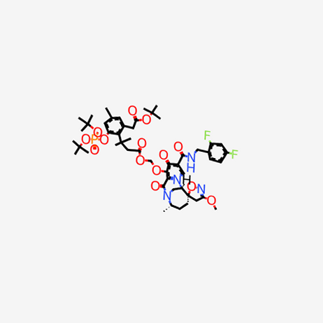 COC1=NO[C@@]2(CC[C@H](C)N3C[C@H]2n2cc(C(=O)NCc4ccc(F)cc4F)c(=O)c(OCOC(=O)CC(C)(C)c4c(CC(=O)OC(C)(C)C)cc(C)cc4OP(=O)(OC(C)(C)C)OC(C)(C)C)c2C3=O)C1